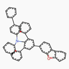 c1ccc(-c2ccc(N(c3ccccc3)c3c(-c4ccccc4)cc(-c4ccc5c(c4)oc4ccccc45)cc3-c3ccccc3)cc2)cc1